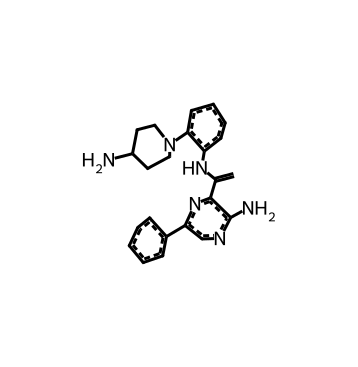 C=C(Nc1ccccc1N1CCC(N)CC1)c1nc(-c2ccccc2)cnc1N